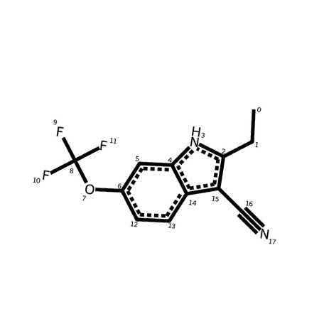 CCc1[nH]c2cc(OC(F)(F)F)ccc2c1C#N